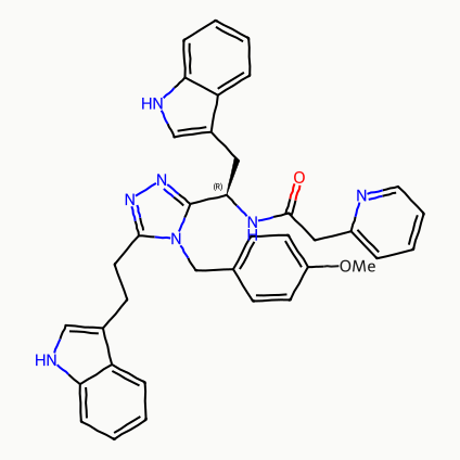 COc1ccc(Cn2c(CCc3c[nH]c4ccccc34)nnc2[C@@H](Cc2c[nH]c3ccccc23)NC(=O)Cc2ccccn2)cc1